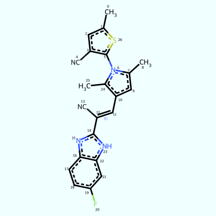 Cc1cc(C#N)c(-n2c(C)cc(/C=C(\C#N)c3nc4ccc(F)cc4[nH]3)c2C)s1